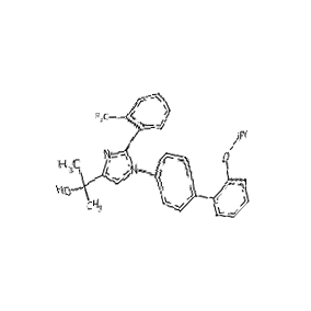 CC(C)Oc1ccccc1-c1ccc(-n2cc(C(C)(C)O)nc2-c2ccccc2C(F)(F)F)cc1